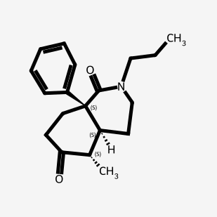 CCCN1CC[C@H]2[C@H](C)C(=O)CC[C@]2(c2ccccc2)C1=O